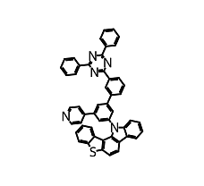 c1ccc(-c2nc(-c3ccccc3)nc(-c3cccc(-c4cc(-c5ccncc5)cc(-n5c6ccccc6c6ccc7sc8ccccc8c7c65)c4)c3)n2)cc1